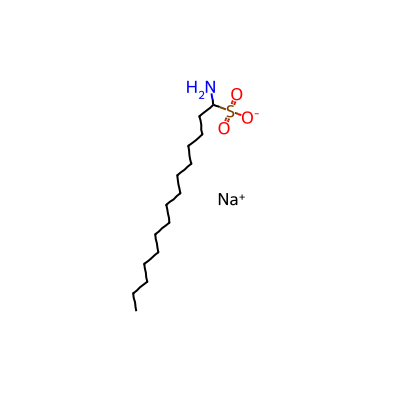 CCCCCCCCCCCCCCC(N)S(=O)(=O)[O-].[Na+]